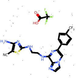 N#Cc1sc(NCCNc2nc(-c3ccc(C(F)(F)F)cc3)cn3ccnc23)nc1N.O=C(O)C(F)(F)F